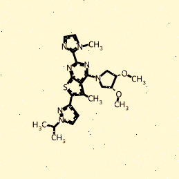 CO[C@H]1CN(c2nc(-c3nccn3C)nc3sc(-c4ccn(C(C)C)n4)c(C)c23)C[C@H]1OC